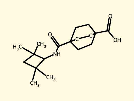 CC1(C)CC(C)(C)C1NC(=O)C12CCC(C(=O)O)(CC1)CC2